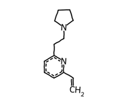 C=Cc1cccc(CCN2CCCC2)n1